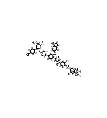 CC1(C)CCC(CN2CCN(c3ccc(C(=O)NS(=O)(=O)c4cnc(OC[C@@H]5C[C@H]6C[C@@H]5C[C@]6(C)O)c(Cl)c4)c(Oc4cnc5[nH]ccc5c4)c3)CC2)=C(c2ccc(Cl)cc2)C1